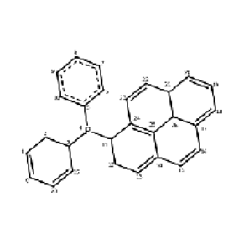 C1=CCC(P(c2ccccc2)C2CC=C3C=CC4=CC=CC5C=CC2=C3C45)C=C1